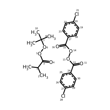 CC(C)C(=O)OOC(C)(C)C.O=C(OOC(=O)c1ccc(Cl)cc1)c1ccc(Cl)cc1